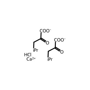 CC(C)CC(=O)C(=O)[O-].CC(C)CC(=O)C(=O)[O-].Cl.[Ca+2]